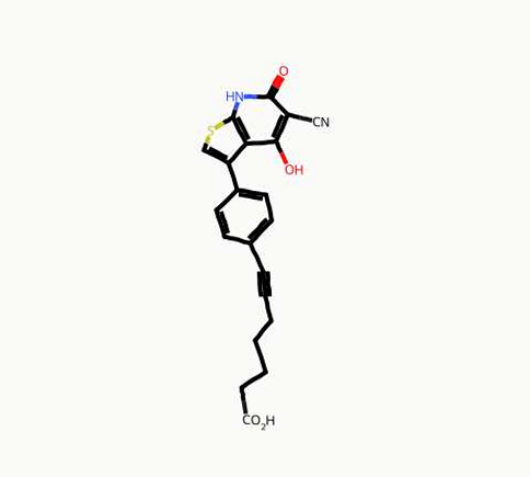 N#Cc1c(O)c2c(-c3ccc(C#CCCCCC(=O)O)cc3)csc2[nH]c1=O